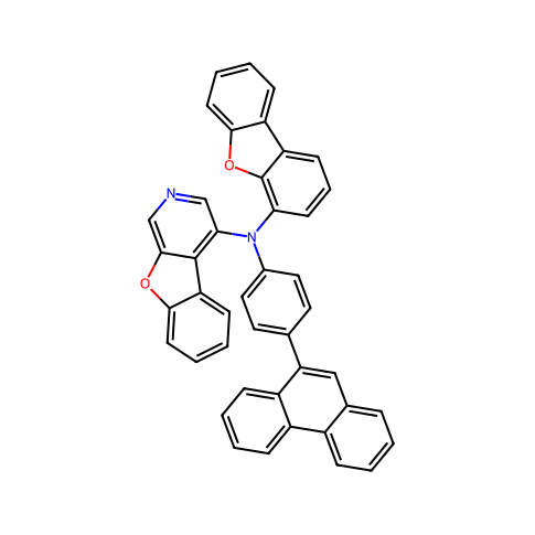 c1ccc2c(c1)cc(-c1ccc(N(c3cccc4c3oc3ccccc34)c3cncc4oc5ccccc5c34)cc1)c1ccccc12